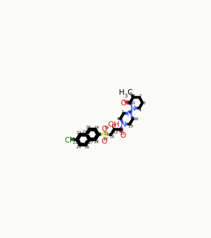 CC1CCCN(N2CCN(C(=O)[C@H](O)CS(=O)(=O)c3ccc4cc(Cl)ccc4c3)CC2)C1=O